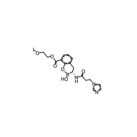 O=C(CCn1ccnc1)N[C@H]1Cc2cccc(C(=O)OCCOI)c2OB1O